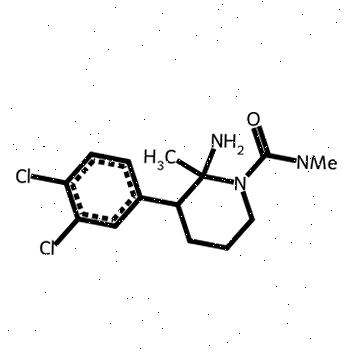 CNC(=O)N1CCCC(c2ccc(Cl)c(Cl)c2)C1(C)N